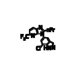 CCCc1nc2ccc(C(F)(F)F)nc2n1-c1cc(Cl)c2[nH]ncc2c1